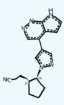 N#CC[C@@H]1CCC[C@@H]1n1cc(-c2cnnc3[nH]ccc23)cn1